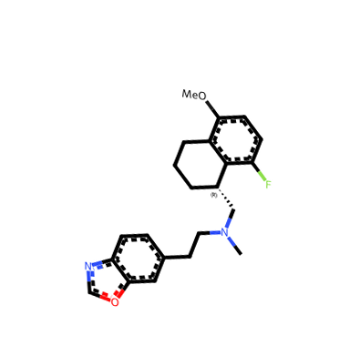 COc1ccc(F)c2c1CCC[C@H]2CN(C)CCc1ccc2ncoc2c1